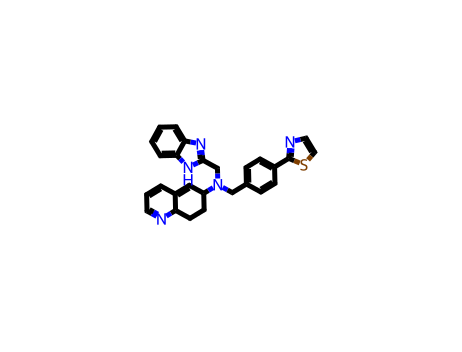 C1=CC2=CC(N(Cc3ccc(-c4nccs4)cc3)Cc3nc4ccccc4[nH]3)CCC2N=C1